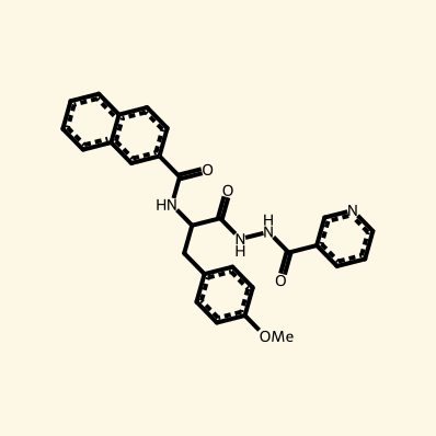 COc1ccc(CC(NC(=O)c2ccc3ccccc3c2)C(=O)NNC(=O)c2cccnc2)cc1